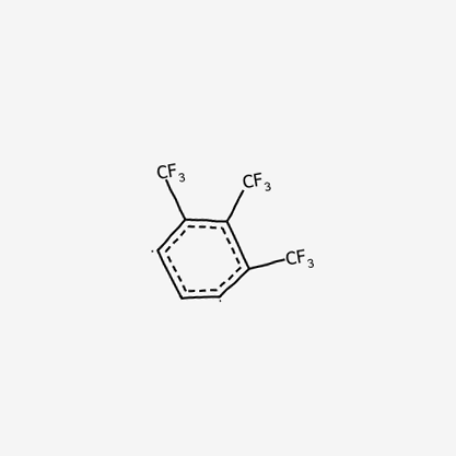 FC(F)(F)c1[c]c[c]c(C(F)(F)F)c1C(F)(F)F